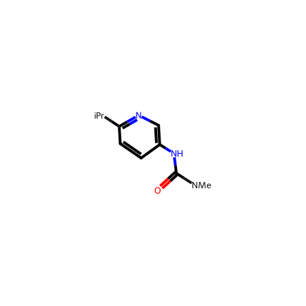 CNC(=O)Nc1ccc(C(C)C)nc1